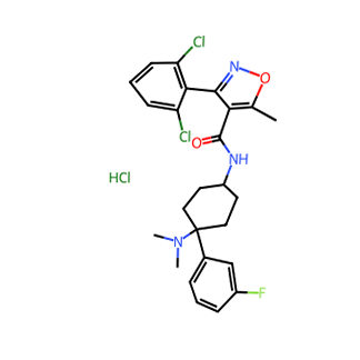 Cc1onc(-c2c(Cl)cccc2Cl)c1C(=O)NC1CCC(c2cccc(F)c2)(N(C)C)CC1.Cl